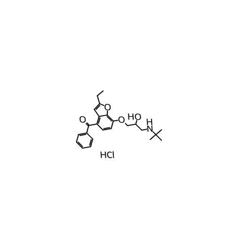 CCc1cc2c(C(=O)c3ccccc3)ccc(OCC(O)CNC(C)(C)C)c2o1.Cl